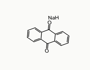 O=C1c2ccccc2C(=O)c2ccccc21.[NaH]